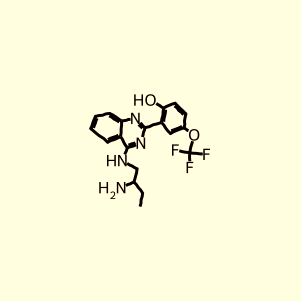 CCC(N)CNc1nc(-c2cc(OC(F)(F)F)ccc2O)nc2ccccc12